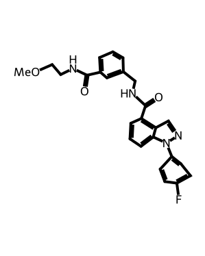 COCCNC(=O)c1cccc(CNC(=O)c2cccc3c2cnn3-c2ccc(F)cc2)c1